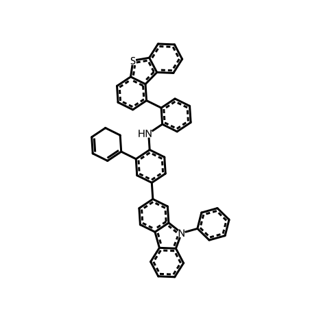 C1=CCCC(c2cc(-c3ccc4c5ccccc5n(-c5ccccc5)c4c3)ccc2Nc2ccccc2-c2cccc3sc4ccccc4c23)=C1